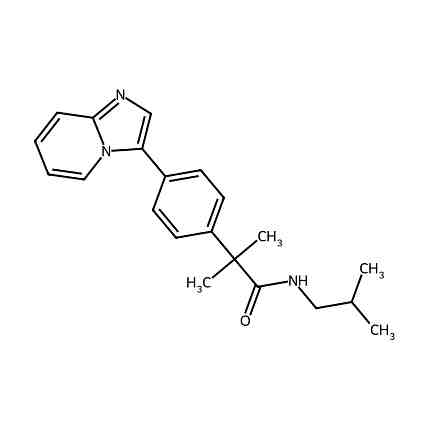 CC(C)CNC(=O)C(C)(C)c1ccc(-c2cnc3ccccn23)cc1